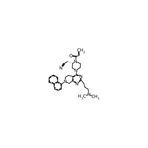 C=CC(=O)N1CCN(c2nc(CCCN(C)C)nc3c2CCN(c2cccc4ccccc24)C3)C[C@@H]1CC#N